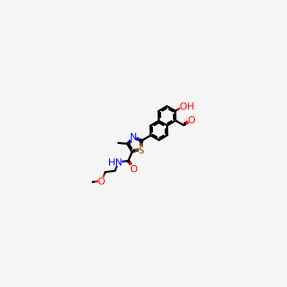 COCCNC(=O)c1sc(-c2ccc3c(C=O)c(O)ccc3c2)nc1C